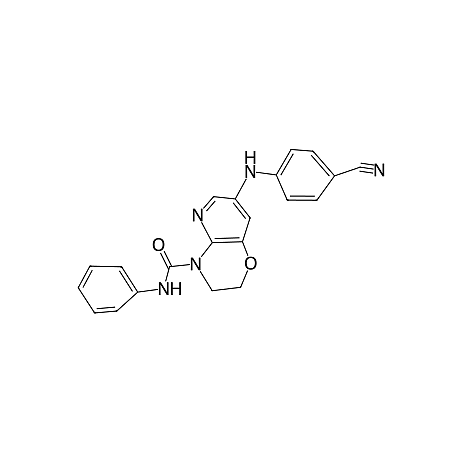 N#Cc1ccc(Nc2cnc3c(c2)OCCN3C(=O)Nc2ccccc2)cc1